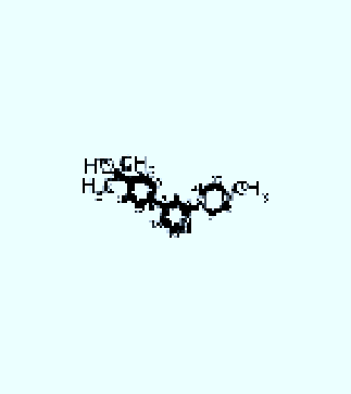 CN1CCN(c2cc(-c3ccc(C(C)(C)O)cc3)ccn2)CC1